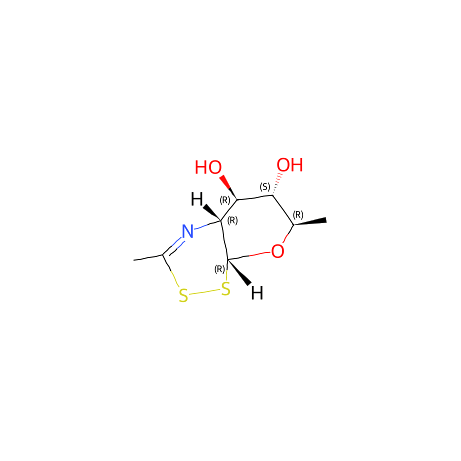 CC1=N[C@@H]2[C@@H](O)[C@H](O)[C@@H](C)O[C@@H]2SS1